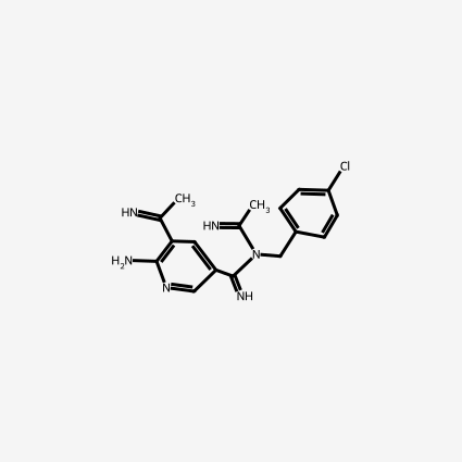 CC(=N)c1cc(C(=N)N(Cc2ccc(Cl)cc2)C(C)=N)cnc1N